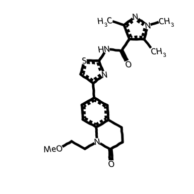 COCCN1C(=O)CCc2cc(-c3csc(NC(=O)c4c(C)nn(C)c4C)n3)ccc21